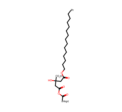 CCCCCCCC(=O)OC(=O)CC(O)(CC(=O)OCCCCCCCCCCCCCCC(C)C)C(=O)O